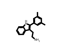 Cc1cc(C)cc(-c2[nH]c3ccccc3c2CCN)c1